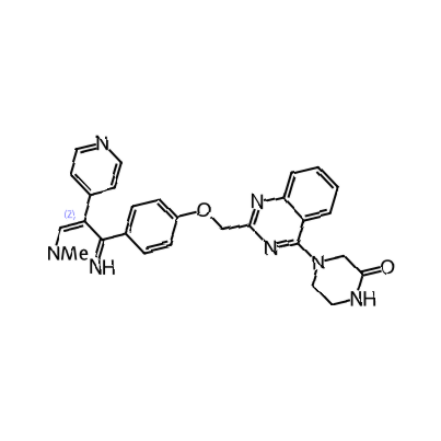 CN/C=C(\C(=N)c1ccc(OCc2nc(N3CCNC(=O)C3)c3ccccc3n2)cc1)c1ccncc1